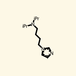 CC(C)N(CCCCn1c[c]nc1)C(C)C